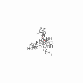 Cc1ccc2nc(C(=O)NC3CN4CCC3CC4)nc(NC3CCCCC3NC(=N)N)c2c1.O=C(O)C(F)(F)F.O=C(O)C(F)(F)F.O=C(O)C(F)(F)F